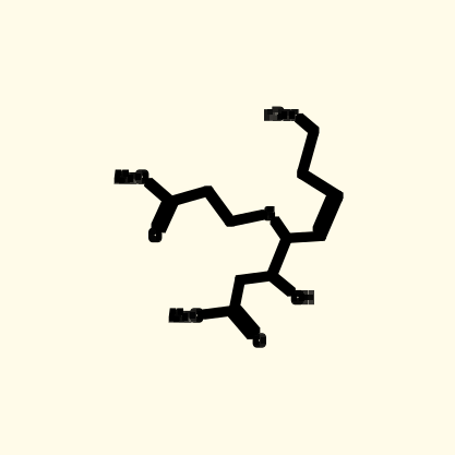 CCCCCCCCCCCC/C=C\C(SCCC(=O)OC)C(O)CC(=O)OC